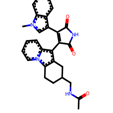 CC(=O)NCC1CCc2c(c(C3=C(c4cn(C)c5ccccc45)C(=O)NC3=O)c3ccccn23)C1